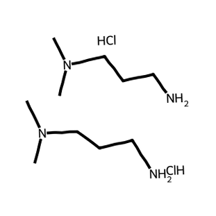 CN(C)CCCN.CN(C)CCCN.Cl.Cl